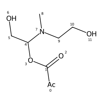 CC(=O)C(=O)OC(CO)N(C)CCO